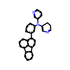 C1=NC=C(N(c2cccnc2)c2cccc(-c3ccc4c5c(cccc35)-c3ccccc3-4)c2)CC1